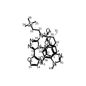 COc1cccc(OC)c1-n1c(-c2ccco2)nnc1N(CC[Si](C)(C)C)S(=O)(=O)[C@H](C)Cc1ncc(F)c2c1ncn2C